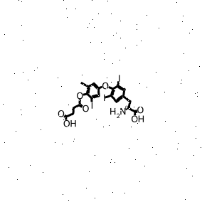 Cc1cc(Oc2c(I)cc(C[C@H](N)C(=O)O)cc2I)cc(I)c1OC(=O)CCC(=O)O